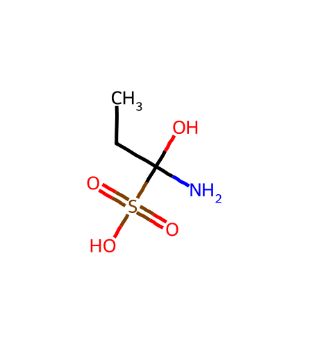 CCC(N)(O)S(=O)(=O)O